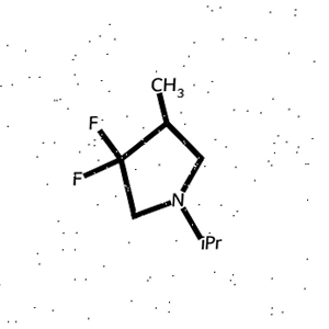 CC(C)N1CC(C)C(F)(F)C1